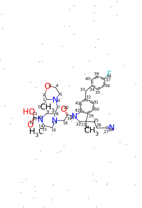 CC1COCCN1CC1CN(C(=O)O)C(C)CN1CC(=O)N1CC(C)(CCC#N)c2ccc(Cc3ccc(F)cc3)cc21